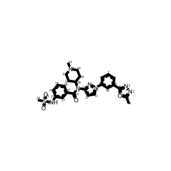 Cc1nnc(-c2cccc(-n3ccc(N(C(=O)c4cccc(NS(C)(=O)=O)c4)C4CCN(C)CC4)n3)c2)o1